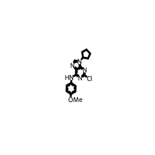 COc1ccc(Nc2nc(Cl)nc3c2ncn3C2CCCC2)cc1